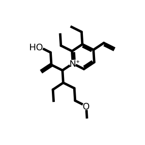 C=Cc1cc[n+](C(C(=C)CO)C(CC)CCOC)c(CC)c1CC